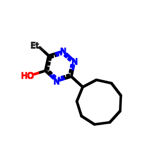 CCc1nnc(C2CCCCCCCC2)nc1O